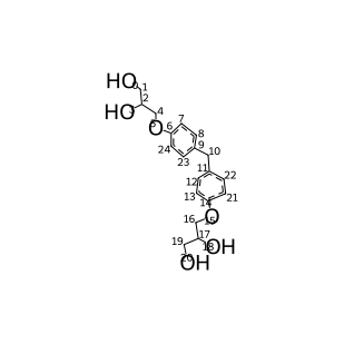 OCC(O)COc1ccc(Cc2ccc(OCC(O)CO)cc2)cc1